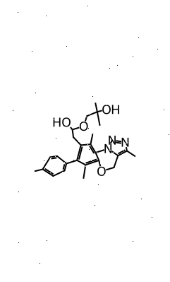 Cc1ccc(-c2c(C)c3c(c(C)c2CC(O)OCC(C)(C)O)-n2nnc(C)c2CO3)cc1